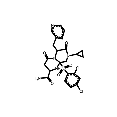 NC(=O)C1[C]C(=O)N2C(Cc3cccnc3)C(=O)N(C3CC3)CC2(S(=O)(=O)c2ccc(Cl)cc2Cl)N1